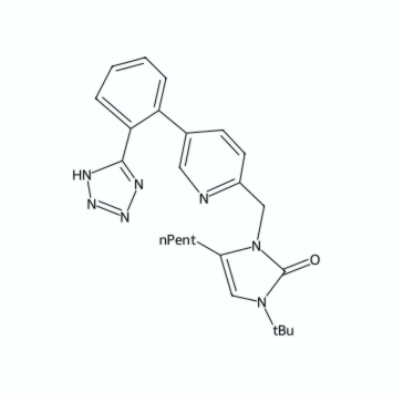 CCCCCc1cn(C(C)(C)C)c(=O)n1Cc1ccc(-c2ccccc2-c2nnn[nH]2)cn1